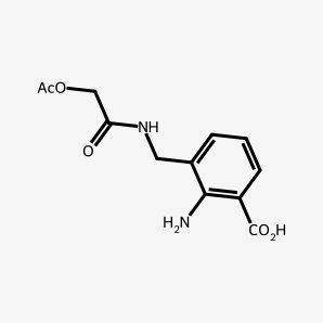 CC(=O)OCC(=O)NCc1cccc(C(=O)O)c1N